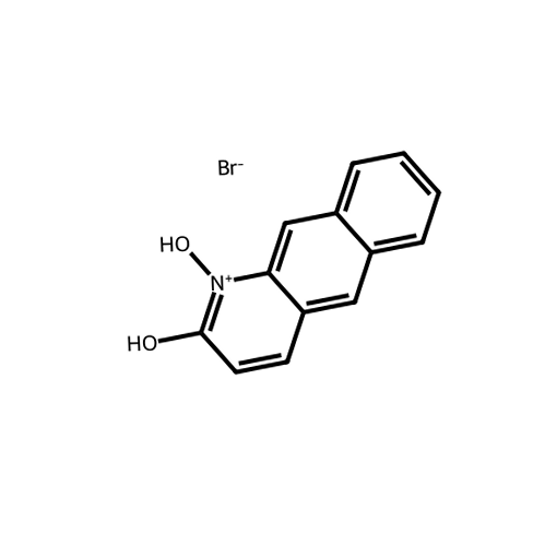 Oc1ccc2cc3ccccc3cc2[n+]1O.[Br-]